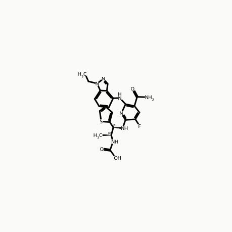 CCn1ncc2c(Nc3nc(N[C@H](c4cccs4)[C@H](C)NC(=O)O)c(F)cc3C(N)=O)cccc21